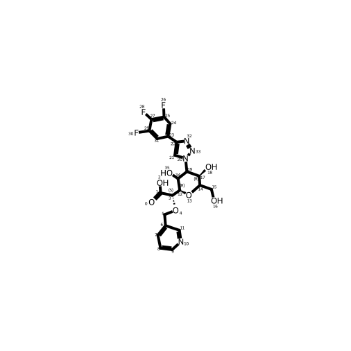 O=C(O)[C@@H](OCc1cccnc1)[C@@H]1OC(CO)[C@H](O)C(n2cc(-c3cc(F)c(F)c(F)c3)nn2)C1O